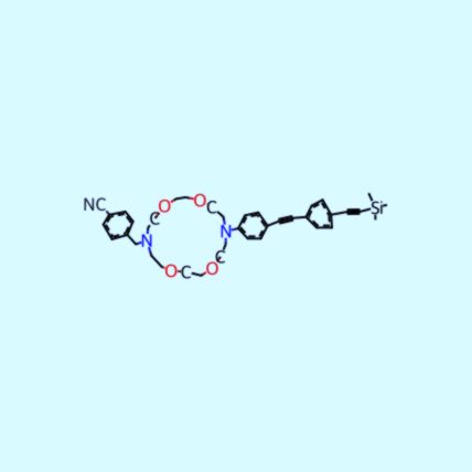 C[Si](C)(C)C#Cc1ccc(C#Cc2ccc(N3CCOCCOCCN(Cc4ccc(C#N)cc4)CCOCCOCC3)cc2)cc1